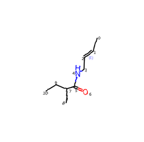 C/C=C/CNC(=O)C(C)CC